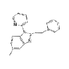 Cc1ccc2c(c1)nc(C=Cc1ccccc1)n2-c1ccccn1